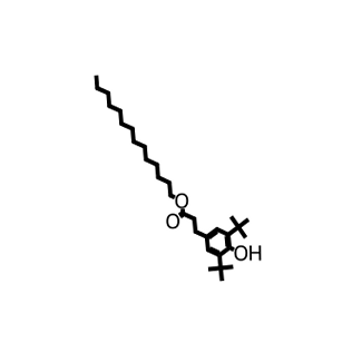 CCCCCCCCCCCCCCOC(=O)CCc1cc(C(C)(C)C)c(O)c(C(C)(C)C)c1